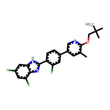 Cc1cc(-c2ccc(-c3nc4c(F)cc(F)cc4[nH]3)c(F)c2)cnc1OCC(C)(C)C(=O)O